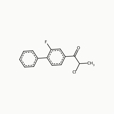 CC(Cl)C(=O)c1ccc(-c2ccccc2)c(F)c1